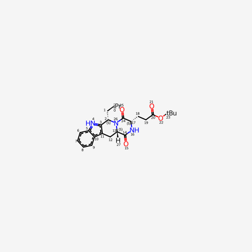 CC(C)C[C@H]1c2[nH]c3ccccc3c2C[C@H]2C(=O)N[C@@H](CCC(=O)OC(C)(C)C)C(=O)N21